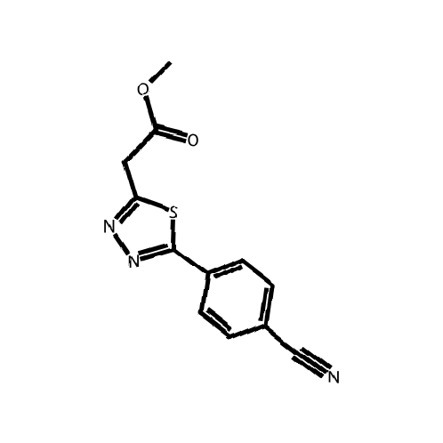 COC(=O)Cc1nnc(-c2ccc(C#N)cc2)s1